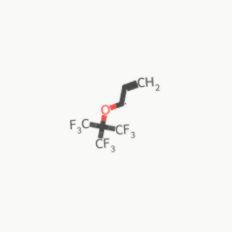 C=C[CH]OC(C(F)(F)F)(C(F)(F)F)C(F)(F)F